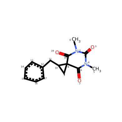 CN1C(=O)N(C)C(=O)C2(CC2Cc2ccccc2)C1=O